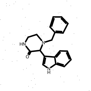 O=C1NCCN(Cc2ccccc2)C1c1c[nH]c2ccccc12